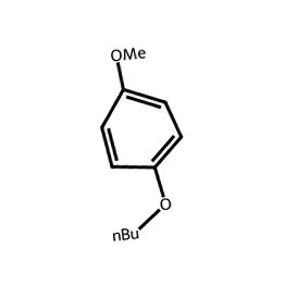 CCCCOc1ccc(OC)cc1